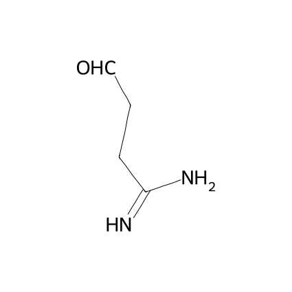 N=C(N)CCC=O